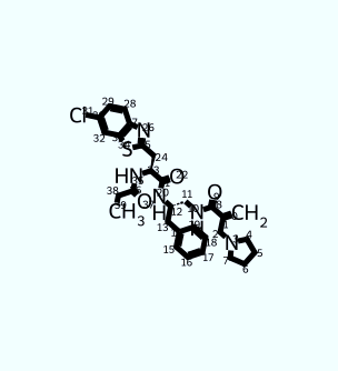 C=C(CN1CCCC1)C(=O)NC[C@H](Cc1ccccc1)NC(=O)[C@H](Cc1nc2ccc(Cl)cc2s1)NC(=O)CC